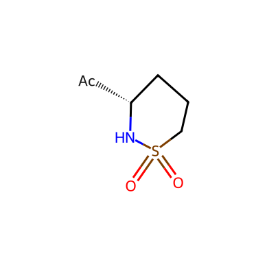 CC(=O)[C@@H]1CCCS(=O)(=O)N1